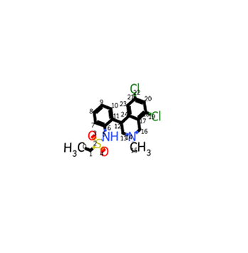 CCS(=O)(=O)Nc1ccccc1C1CN(C)Cc2c(Cl)cc(Cl)cc21